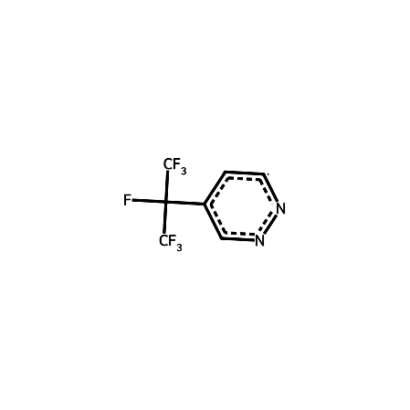 FC(F)(F)C(F)(c1c[c]nnc1)C(F)(F)F